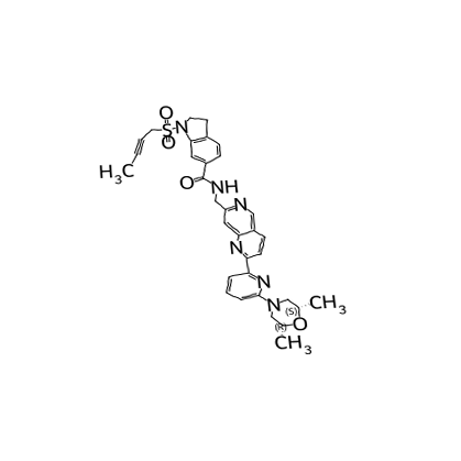 CC#CCS(=O)(=O)N1CCc2ccc(C(=O)NCc3cc4nc(-c5cccc(N6C[C@@H](C)O[C@@H](C)C6)n5)ccc4cn3)cc21